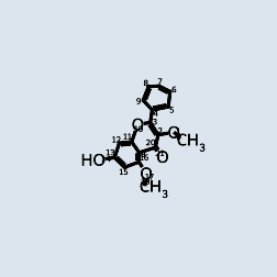 COc1c(-c2ccccc2)oc2cc(O)cc(OC)c2c1=O